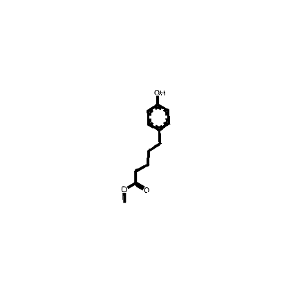 COC(=O)CCCCc1ccc(O)cc1